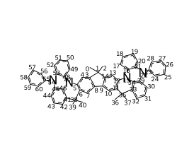 CC1(C)c2cc3c(cc2-c2cc4c(cc21)N1c2ccccc2N(c2ccccc2)c2cccc(c21)C4(C)C)C(C)(C)c1cccc2c1N3c1ccccc1N2c1ccccc1